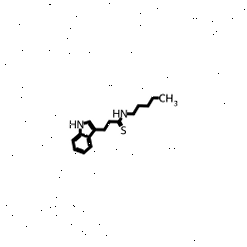 CCCCCNC(=S)CCc1c[nH]c2ccccc12